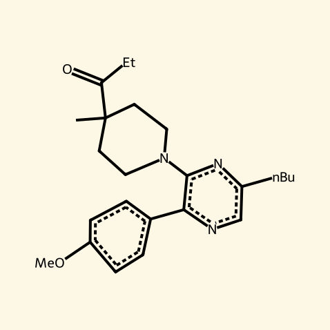 CCCCc1cnc(-c2ccc(OC)cc2)c(N2CCC(C)(C(=O)CC)CC2)n1